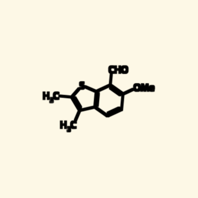 COc1ccc2c(C)c(C)sc2c1C=O